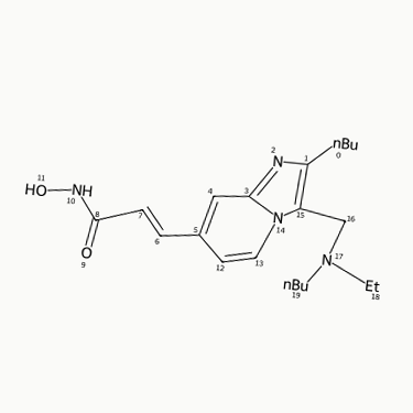 CCCCc1nc2cc(C=CC(=O)NO)ccn2c1CN(CC)CCCC